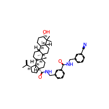 C=C(C)[C@@H]1CC[C@]2(C(=O)NCc3cccc(C(=O)NCc4cccc(C#N)c4)c3)CC[C@]3(C)[C@H](CC[C@@H]4[C@@]5(C)CC[C@H](O)C(C)(C)[C@@H]5CC[C@]43C)[C@@H]12